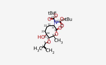 C=C(C)CO[C@@H]1[C@H](C)OC(=O)[C@@H](N(C(=O)OC(C)(C)C)C(=O)OC(C)(C)C)CCC[C@@H]1O